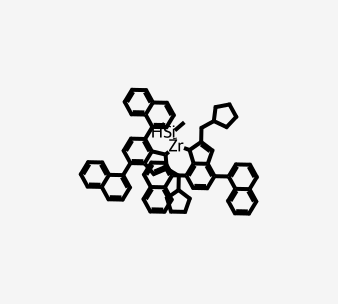 C[SiH](C)[Zr]([CH]1C(CC2CCCC2)=Cc2c(-c3cccc4ccccc34)ccc(-c3cccc4ccccc34)c21)[CH]1C(CC2CCCC2)=Cc2c(-c3cccc4ccccc34)ccc(-c3cccc4ccccc34)c21